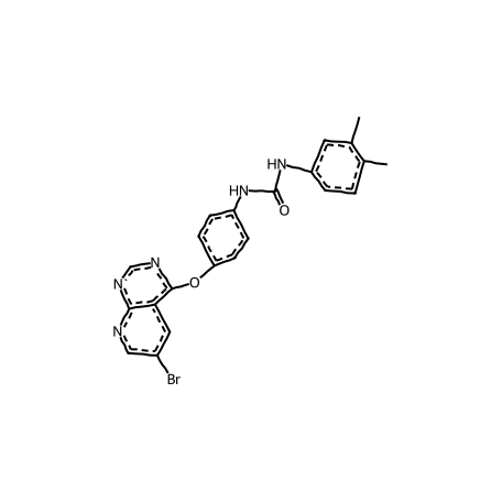 Cc1ccc(NC(=O)Nc2ccc(Oc3ncnc4ncc(Br)cc34)cc2)cc1C